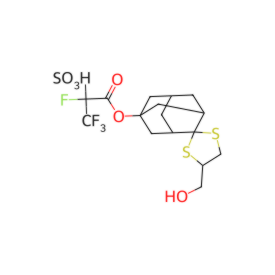 O=C(OC12CC3CC(C1)C1(SCC(CO)S1)C(C3)C2)C(F)(C(F)(F)F)S(=O)(=O)O